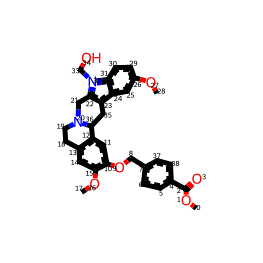 COC(=O)c1ccc(COc2cc3c(cc2OC)CCN2Cc4c(c5cc(OC)ccc5n4CO)CC32)cc1